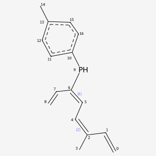 C=C/C(C)=C\C=C(/C=C)Pc1ccc(C)cc1